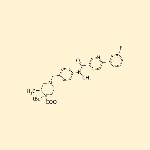 C[C@H]1CN(Cc2ccc(N(C)C(=O)c3ccc(-c4cccc(F)c4)nc3)cc2)CC[N+]1(C(=O)[O-])C(C)(C)C